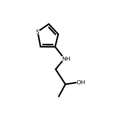 CC(O)CNc1ccsc1